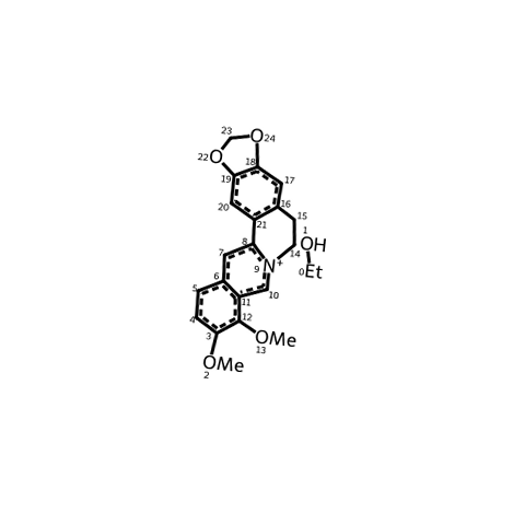 CCO.COc1ccc2cc3[n+](cc2c1OC)CCc1cc2c(cc1-3)OCO2